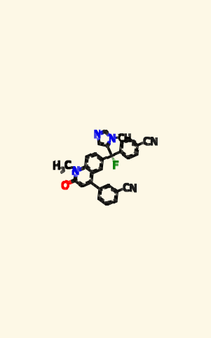 Cn1cncc1[C@@](F)(c1ccc(C#N)cc1)c1ccc2c(c1)c(-c1cccc(C#N)c1)cc(=O)n2C